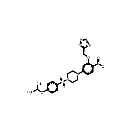 CC(C)Oc1ccc(S(=O)(=O)N2CCN(c3ccc([N+](=O)[O-])c(OCc4nnn[nH]4)c3)CC2)cc1